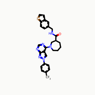 O=C(NCc1ccc2sccc2c1)C1CCCCN(c2ncnc3nn(-c4ccc(C(F)(F)F)cc4)cc23)C1